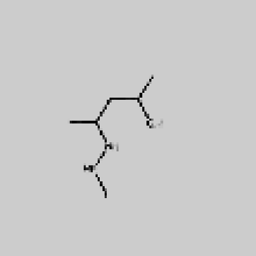 CC(O)CC(C)NPI